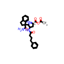 NC(=O)C1(C2N[C@H](C(=O)OC(=O)C(F)(F)F)CC2NC(=O)CCCc2ccccc2)CCc2ccccc21